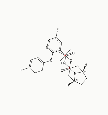 CC(C)(C)OC(=O)N1[C@@H]2CC[C@H]1CC(NC(=O)c1cc(F)cnc1OC1=CC=C(F)CC1)C2